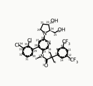 CN(C(=O)C(C)(C)c1cc(C(F)(F)F)cc(C(F)(F)F)c1)c1cnc(N2CC[C@H](O)[C@H]2CO)cc1-c1cccc(Cl)c1Cl